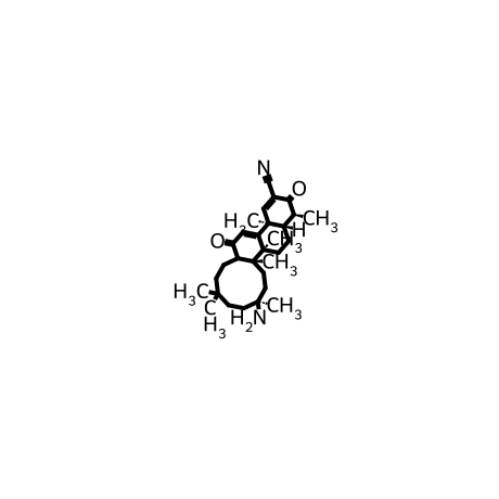 C[C@@H]1C(=O)C(C#N)=C[C@]2(C)C3=CC(=O)C4CCC(C)(C)CC[C@](C)(N)CC[C@@]4(C)[C@]3(C)CC[C@@H]12